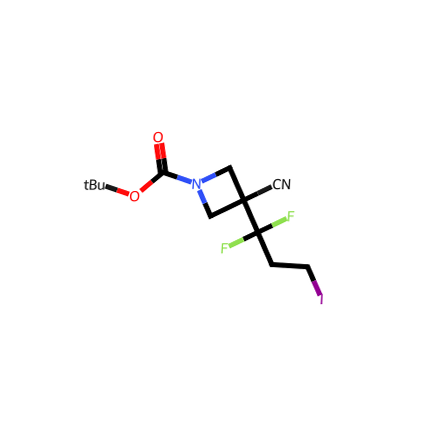 CC(C)(C)OC(=O)N1CC(C#N)(C(F)(F)CCI)C1